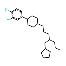 CCCC(CCCC1CCC(c2ccc(F)c(F)c2)CC1)CC1CCCC1